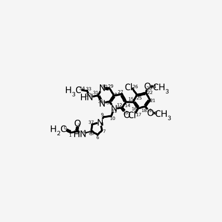 C=CC(=O)N[C@@H]1CCN(CCn2c(=O)c(-c3c(Cl)c(OC)cc(OC)c3Cl)cc3cnc(NCC)nc32)C1